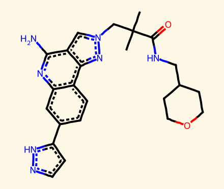 CC(C)(Cn1cc2c(N)nc3cc(-c4ccn[nH]4)ccc3c2n1)C(=O)NCC1CCOCC1